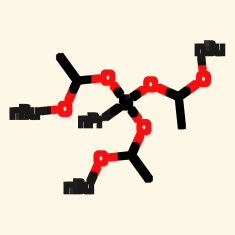 CCCCOC(C)O[Si](CCC)(OC(C)OCCCC)OC(C)OCCCC